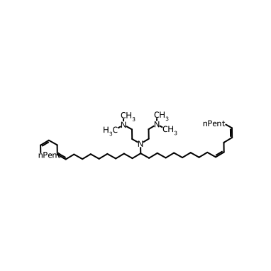 CCCCC/C=C\C/C=C\CCCCCCCCC(CCCCCCCC/C=C\C/C=C\CCCCC)N(CCN(C)C)CCN(C)C